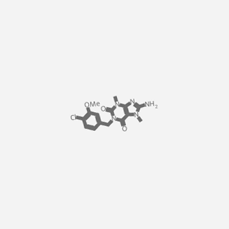 COc1cc(Cn2c(=O)c3c(nc(N)n3C)n(C)c2=O)ccc1Cl